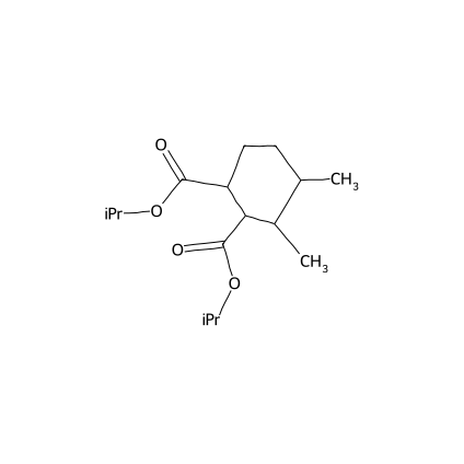 CC(C)OC(=O)C1CCC(C)C(C)C1C(=O)OC(C)C